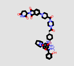 NC(N)=C(/C=C(\N)c1ccccc1O)N1CC2CCC(C1)N2c1cccc(O[C@H]2CC[C@@H](CC(=O)N3CCN(C(=O)C4CCN(c5ccc6c(c5)C(=O)N(C5CCC(=O)NC5=O)C6=O)CC4)CC3)CC2)c1